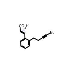 CCC#CCCc1ccccc1/C=C/C(=O)O